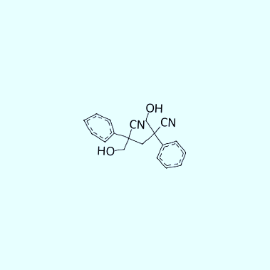 N#CC(CO)(CC(C#N)(CO)c1ccccc1)c1ccccc1